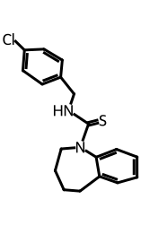 S=C(NCc1ccc(Cl)cc1)N1CCCCc2ccccc21